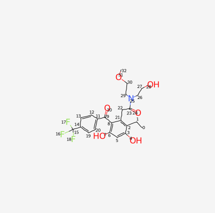 CCc1c(O)cc(O)c(C(=O)c2ccc(C(F)(F)F)cc2)c1CC(=O)N(CCO)CCOC